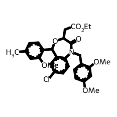 CCOC(=O)CC1OC(c2ccc(C)cc2OC)c2cc(Cl)ccc2N(Cc2ccc(OC)cc2OC)C1=O